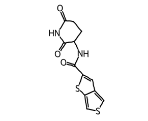 O=C1CCC(NC(=O)c2cc3cscc3s2)C(=O)N1